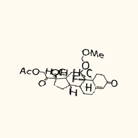 COCOC1C[C@@]2(C)[C@@H](CC[C@]2(O)C(=O)COC(C)=O)[C@@H]2CCC3=CC(=O)CC[C@]3(C)[C@@]12F